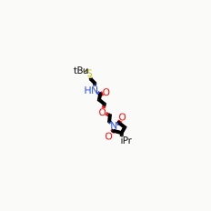 CC(C)C1CC(=O)N(CCOCCC(=O)NCCSC(C)(C)C)C1=O